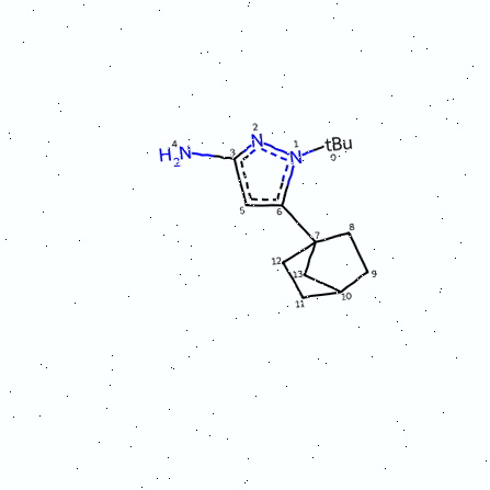 CC(C)(C)n1nc(N)cc1C12CCC(CC1)C2